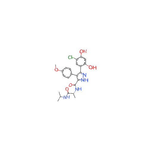 COc1ccc(-c2c(-c3cc(Cl)c(O)cc3O)n[nH]c2C(=O)NC(C)C(=O)NC(C)C)cc1